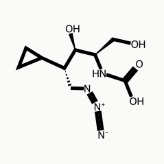 [N-]=[N+]=NC[C@H](C1CC1)[C@@H](O)[C@@H](CO)NC(=O)O